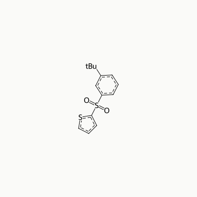 CC(C)(C)c1cccc(S(=O)(=O)c2cccs2)c1